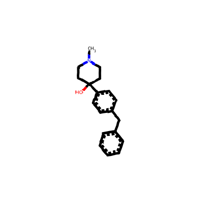 CN1CCC(O)(c2ccc(Cc3ccccc3)cc2)CC1